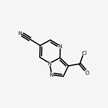 N#Cc1cnc2c(C(=O)Cl)cnn2c1